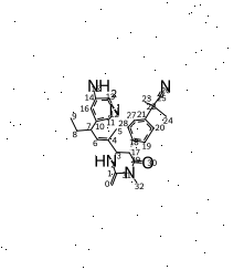 C=C1NC(/C(C)=C/C(CC)c2cncc(N)c2)[C@H](c2ccc(C(C)(C)C#N)cc2)C(=O)N1C